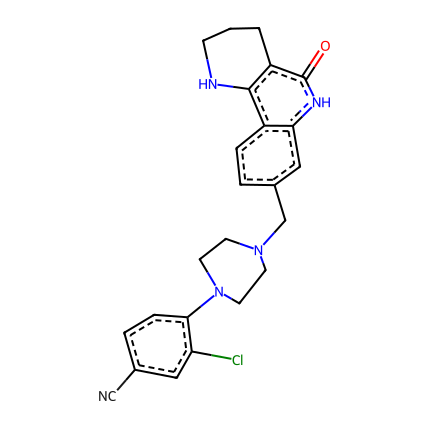 N#Cc1ccc(N2CCN(Cc3ccc4c5c(c(=O)[nH]c4c3)CCCN5)CC2)c(Cl)c1